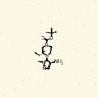 CC[C@@H]1CN(C(=O)OC(C)(C)C)CCN1c1c(N)cnn1C